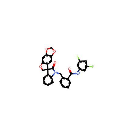 O=C(Nc1cc(F)cc(F)c1)c1ccccc1CN1C(=O)C2(COc3cc4c(cc32)OCO4)c2ccccc21